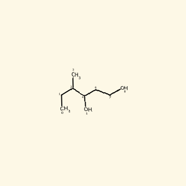 CCC(C)C(O)CCO